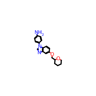 Nc1ccc(-n2cnc3cc(OCC4CCCCO4)ccc32)cc1